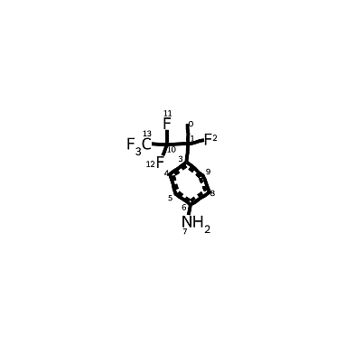 CC(F)(c1ccc(N)cc1)C(F)(F)C(F)(F)F